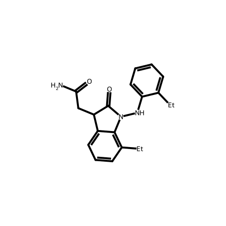 CCc1ccccc1NN1C(=O)C(CC(N)=O)c2cccc(CC)c21